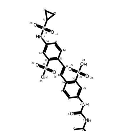 CC(C)NC(=O)Nc1ccc(C=Cc2ccc(NS(=O)(=O)C3CC3)cc2S(=O)(=O)O)c(S(=O)(=O)O)c1